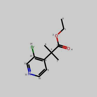 CCOC(=O)C(C)(C)c1ccncc1Br